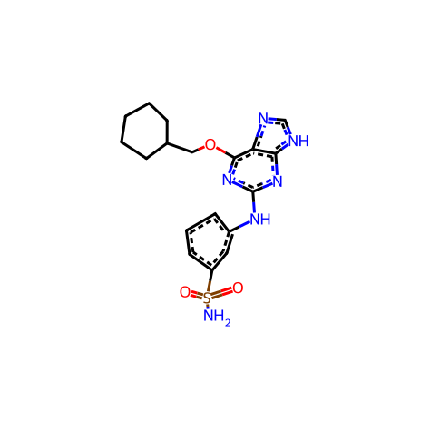 NS(=O)(=O)c1cccc(Nc2nc(OCC3CCCCC3)c3nc[nH]c3n2)c1